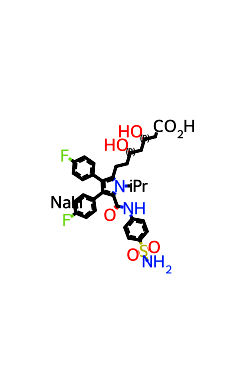 CC(C)n1c(CC[C@@H](O)C[C@@H](O)CC(=O)O)c(-c2ccc(F)cc2)c(-c2ccc(F)cc2)c1C(=O)Nc1ccc(S(N)(=O)=O)cc1.[NaH]